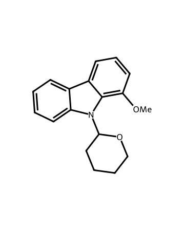 COc1cccc2c3ccccc3n(C3CCCCO3)c12